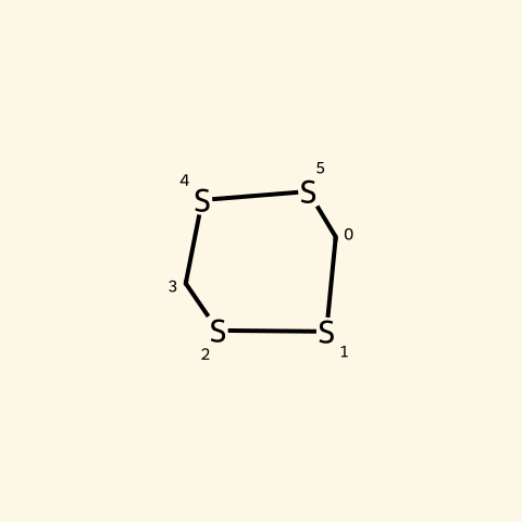 C1SSCSS1